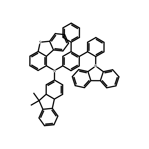 CC1(C)c2ccccc2C2C=CC(N(c3ccc(-c4ccccc4-n4c5ccccc5c5ccccc54)c(-c4ccccc4)c3)c3cccc4sc5ccccc5c34)=CC21